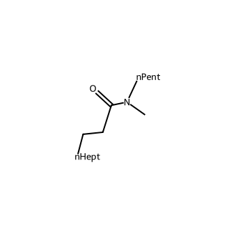 CCCCCCCCCC(=O)N(C)CCCCC